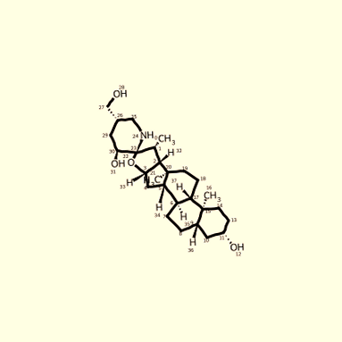 C[C@@H]1[C@H]2[C@H](C[C@H]3[C@@H]4CC[C@H]5C[C@@H](O)CC[C@]5(C)[C@H]4CC[C@]23C)O[C@@]12NC[C@@H](CO)C[C@@H]2O